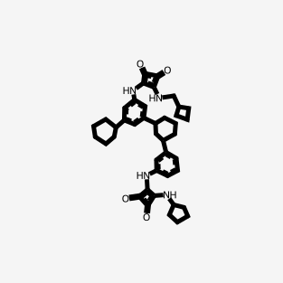 O=c1c(NCC2CCC2)c(Nc2cc(C3CCCCC3)cc(C3CCCC(c4cccc(Nc5c(NC6CCCC6)c(=O)c5=O)c4)C3)c2)c1=O